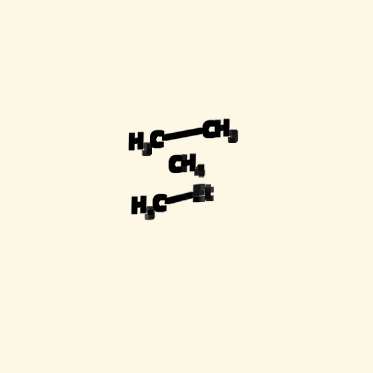 C.CC.CCC